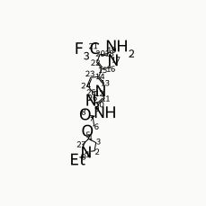 CCN1CC[C@@H](OCC(=O)Nc2cn3cc(-c4cnc(N)c(C(F)(F)F)c4)ccc3n2)C1